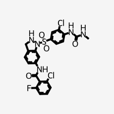 CNC(=O)Nc1ccc(S(=O)(=O)N2NCc3ccc(NC(=O)c4c(F)cccc4Cl)cc32)cc1Cl